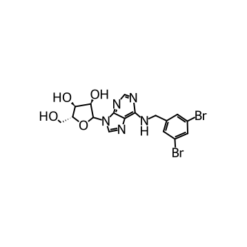 OC[C@H]1OC(n2cnc3c(NCc4cc(Br)cc(Br)c4)ncnc32)[C@H](O)[C@@H]1O